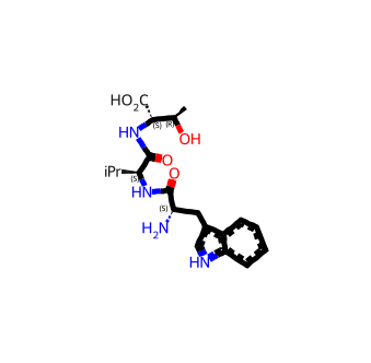 CC(C)[C@H](NC(=O)[C@@H](N)Cc1c[nH]c2ccccc12)C(=O)N[C@H](C(=O)O)[C@@H](C)O